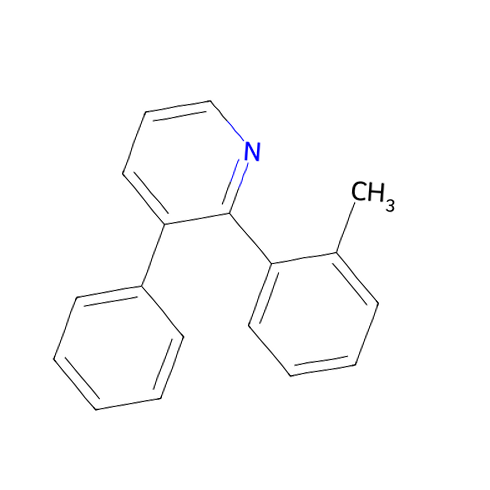 Cc1ccccc1-c1ncccc1-c1ccccc1